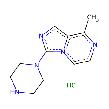 Cc1nccn2c(N3CCNCC3)ncc12.Cl